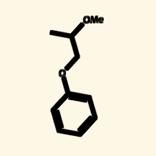 COC(C)COc1ccccc1